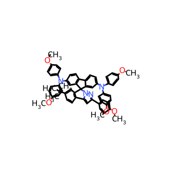 COc1ccc(-c2cc3n(n2)C2(c4cc(N(c5ccc(OC)cc5)c5ccc(OC)cc5)ccc4-c4ccc(N(c5ccc(OC)cc5)c5ccc(OC)cc5)cc42)c2cc(C(C)(C)C)ccc2-3)cc1